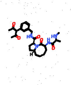 CNC(C)C(=O)N[C@H]1CCCC[C@H]2CC[C@@H](C(=O)NCc3cccc(C(C(C)=O)C(C)=O)c3)N2C1=O